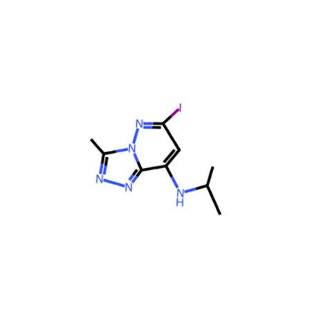 Cc1nnc2c(NC(C)C)cc(I)nn12